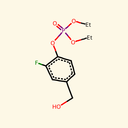 CCOP(=O)(OCC)Oc1ccc(CO)cc1F